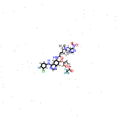 Cn1cnc([N+](=O)[O-])c1C[N+](C)(C)C/C=C/C(=O)Nc1cc2c(Nc3ccc(F)c(Cl)c3)ncnc2cc1O[C@H]1CCOC1.O=C([O-])C(F)(F)F